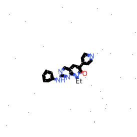 CCn1c(=O)c(-c2ccncc2)cc2cnc(Nc3ccccc3)nc21